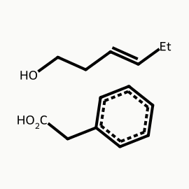 CCC=CCCO.O=C(O)Cc1ccccc1